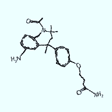 CC(=O)N1c2ccc(N)cc2C(C)(c2ccc(OCCC(N)=O)cc2)CC1(C)C